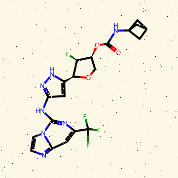 O=C(NC12CC(C1)C2)O[C@H]1CO[C@@H](c2cc(Nc3nc(C(F)(F)F)cc4nccn34)n[nH]2)[C@H]1F